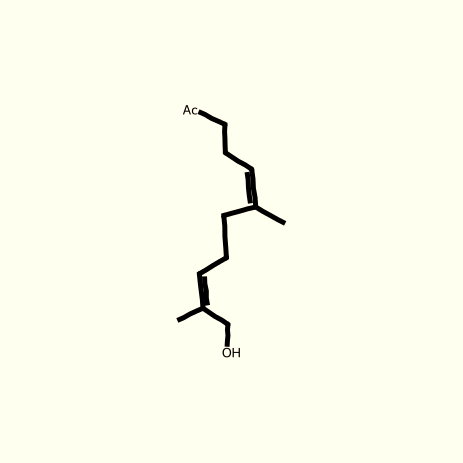 CC(=O)CCC=C(C)CCC=C(C)CO